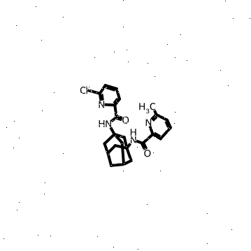 Cc1cccc(C(=O)NC23CC4CC(C2)CC(NC(=O)c2cccc(Cl)n2)(C4)C3)n1